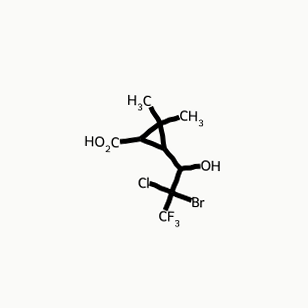 CC1(C)C(C(=O)O)C1C(O)C(Cl)(Br)C(F)(F)F